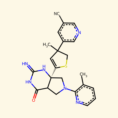 Cc1cccnc1N1CC2C(=O)NC(=N)N[C@@]2(C2=CC(C)(c3cncc(C#N)c3)CS2)C1